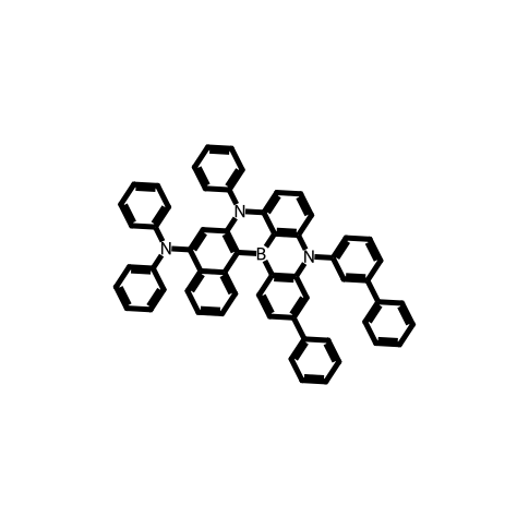 c1ccc(-c2cccc(N3c4cc(-c5ccccc5)ccc4B4c5c3cccc5N(c3ccccc3)c3cc(N(c5ccccc5)c5ccccc5)c5ccccc5c34)c2)cc1